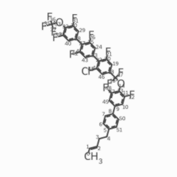 C/C=C/CCc1ccc(-c2cc(F)c(OC(F)(F)c3cc(F)c(-c4cc(F)c(-c5cc(F)c(OC(F)(F)F)c(F)c5)c(F)c4)c(Cl)c3)c(F)c2)cc1